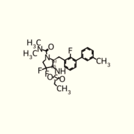 CCS(=O)(=O)N[C@@H]1[C@H](Cc2cccc(-c3cccc(C)c3)c2F)N(C(=O)N(C)C)CC1(F)F